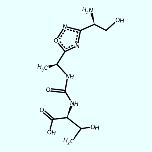 CC(O)[C@H](NC(=O)N[C@@H](C)c1nc([C@@H](N)CO)no1)C(=O)O